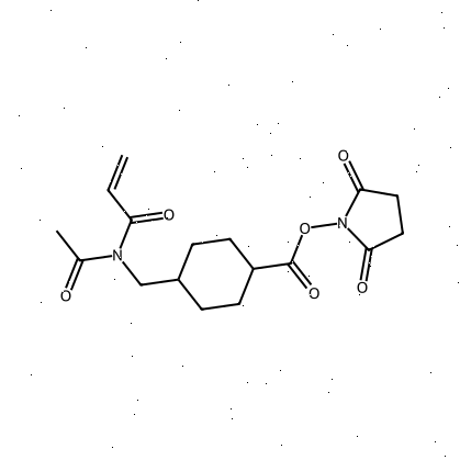 C=CC(=O)N(CC1CCC(C(=O)ON2C(=O)CCC2=O)CC1)C(C)=O